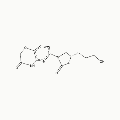 O=C1COc2ccc(N3C[C@H](CCCO)OC3=O)nc2N1